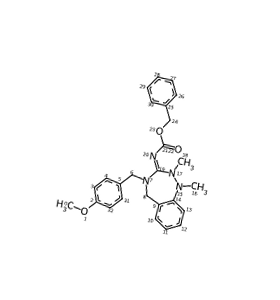 COc1ccc(CN2Cc3ccccc3N(C)N(C)/C2=N\C(=O)OCc2ccccc2)cc1